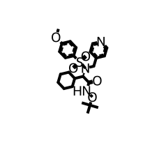 COc1ccc(S(=O)(=O)N(Cc2ccncc2)[C@@H](C(=O)NOC(C)(C)C)C2CCCCC2)cc1